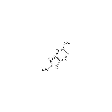 COc1ccc2nc(SC)sc2c1